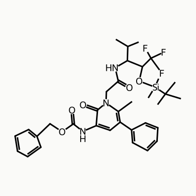 Cc1c(-c2ccccc2)cc(NC(=O)OCc2ccccc2)c(=O)n1CC(=O)NC(C(C)C)C(O[Si](C)(C)C(C)(C)C)C(F)(F)F